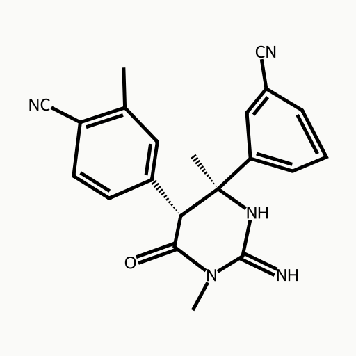 Cc1cc([C@H]2C(=O)N(C)C(=N)N[C@]2(C)c2cccc(C#N)c2)ccc1C#N